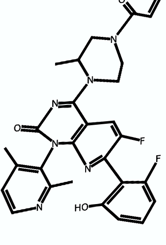 C=CC(=O)N1CCN(c2nc(=O)n(-c3c(C)ccnc3C)c3nc(-c4c(O)cccc4F)c(F)cc23)C(C)C1